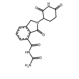 NC(=O)NC(=O)c1cccc2c1C(=O)N(C1CCC(=O)NC1=O)C2